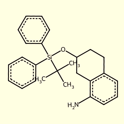 CC(C)(C)[Si](OC1CCc2cccc(N)c2C1)(c1ccccc1)c1ccccc1